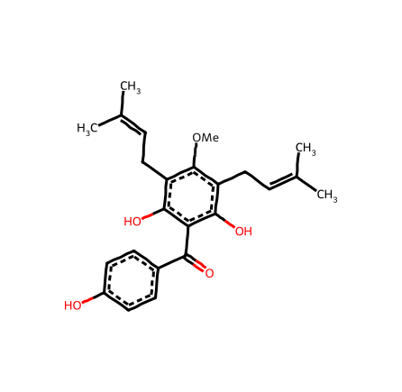 COc1c(CC=C(C)C)c(O)c(C(=O)c2ccc(O)cc2)c(O)c1CC=C(C)C